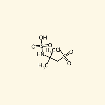 CC(C)(CS(=O)(=O)Cl)NS(=O)(=O)O